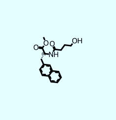 COC(=O)[C@@H](Cc1ccc2ccccc2c1)NC(=O)CCCO